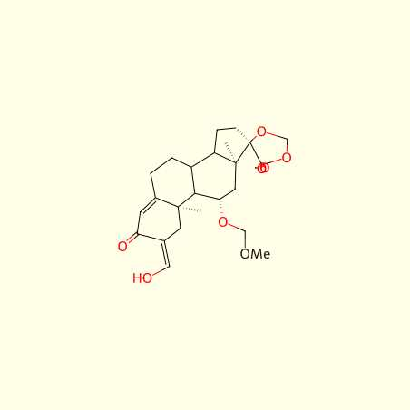 COCO[C@H]1C[C@@]2(C)C(CC[C@@]23OCOC32COCO2)C2CCC3=CC(=O)/C(=C\O)C[C@]3(C)C21